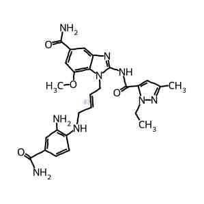 CCn1nc(C)cc1C(=O)Nc1nc2cc(C(N)=O)cc(OC)c2n1C/C=C/CNc1ccc(C(N)=O)cc1N